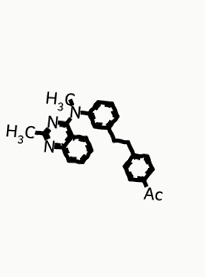 CC(=O)c1ccc(CCc2cccc(N(C)c3nc(C)nc4ccccc34)c2)cc1